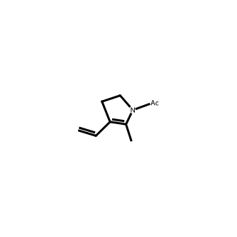 C=CC1=C(C)N(C(C)=O)CC1